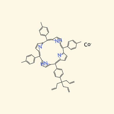 C=CCC(CC=C)(CC=C)c1ccc(-c2c3nc(c(-c4ccc(C)cc4)c4ccc([nH]4)c(-c4ccc(C)cc4)c4nc(c(-c5ccc(C)cc5)c5ccc2[nH]5)C=C4)C=C3)cc1.[Co]